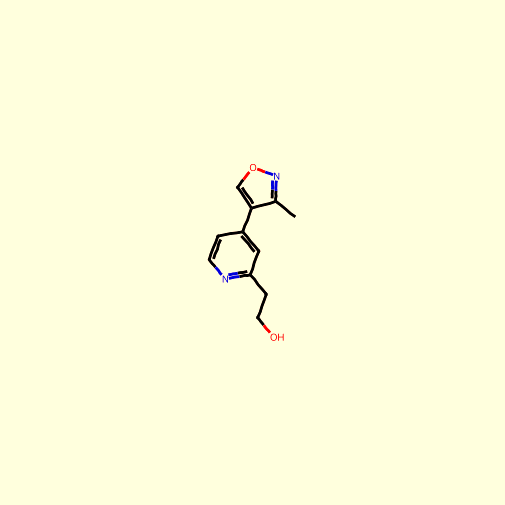 Cc1nocc1-c1ccnc(CCO)c1